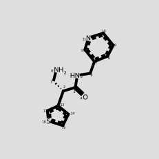 NC[C@H](C(=O)NCc1cccnc1)c1ccsc1